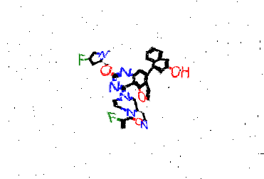 C=C(F)C(=O)N1CCN(c2nc(OC[C@@H]3C[C@@H](F)CN3C)nc3cc(-c4cc(O)cc5ccccc45)c4ccoc4c23)C[C@@H]1CC#N